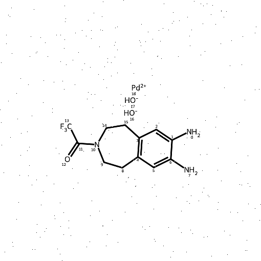 Nc1cc2c(cc1N)CCN(C(=O)C(F)(F)F)CC2.[OH-].[OH-].[Pd+2]